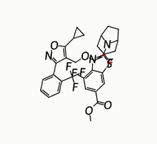 COC(=O)c1cc(F)c2nc(N3C4CCC3CC(F)(COCc3c(-c5ccccc5C(F)(F)F)noc3C3CC3)C4)sc2c1